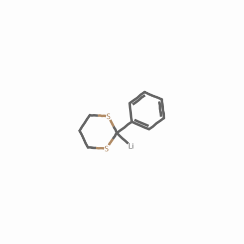 [Li][C]1(c2ccccc2)SCCCS1